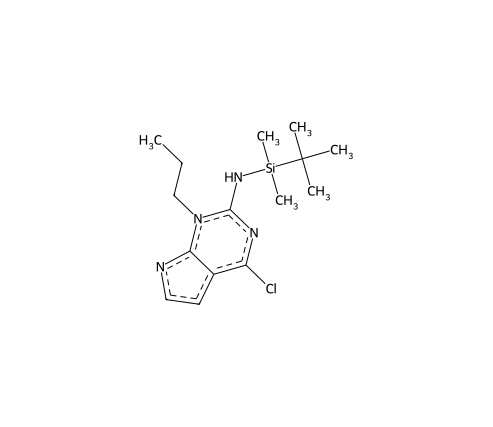 CCCn1c(N[Si](C)(C)C(C)(C)C)nc(Cl)c2ccnc1-2